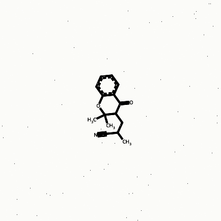 CC(C#N)CC1C(=O)c2ccccc2OC1(C)C